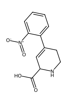 O=C(O)C1C=C(c2ccccc2[N+](=O)[O-])CCN1